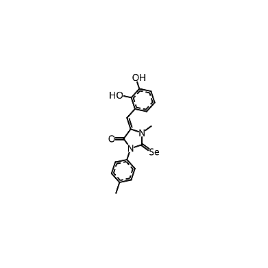 Cc1ccc(N2C(=O)C(=Cc3cccc(O)c3O)N(C)C2=[Se])cc1